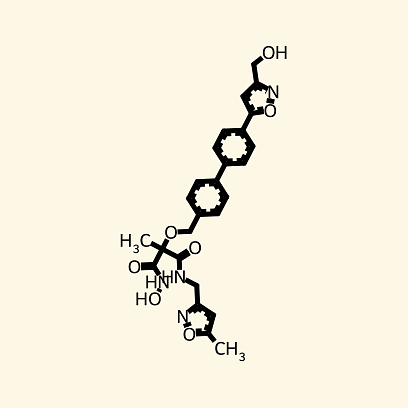 Cc1cc(CNC(=O)C(C)(OCc2ccc(-c3ccc(-c4cc(CO)no4)cc3)cc2)C(=O)NO)no1